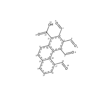 O=Cc1c(C=O)c(C=O)c2c(ccc3cccc(C=O)c32)c1C(=O)O